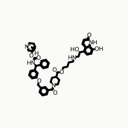 O=C(NC(c1ccccc1)c1cccc(OCc2cccc(C(=O)N3CCC(C(=O)OCCCCNC[C@@H](O)c4ccc(O)c5[nH]c(=O)ccc45)CC3)c2)c1)O[C@H]1CN2CCC1CC2